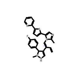 C=C/C(=C\n1c(-c2ccc(-c3ccccn3)s2)cnc1C)C1=CNN(C)C1c1ccc(F)cc1